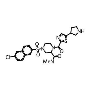 CNC(=O)C1CN(S(=O)(=O)c2ccc3cc(Cl)ccc3c2)CCN1C(=O)c1ncc(C2CCNC2)s1